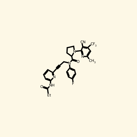 CCC(=O)Nc1cccc(C#CCN(C(=O)C2CCCN2c2nc(C)cc(C(F)(F)F)c2C#N)c2ccc(F)cc2)n1